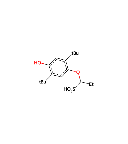 CCC(Oc1cc(C(C)(C)C)c(O)cc1C(C)(C)C)S(=O)(=O)O